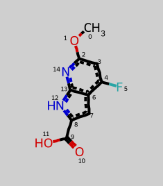 COc1cc(F)c2cc(C(=O)O)[nH]c2n1